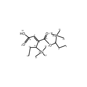 CCC(OC(=O)C(=CC(=O)O)C(CC)[Si](C)(C)C)[Si](C)(C)C